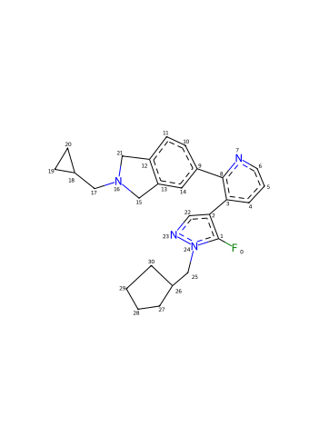 Fc1c(-c2cccnc2-c2ccc3c(c2)CN(CC2CC2)C3)cnn1CC1CCCC1